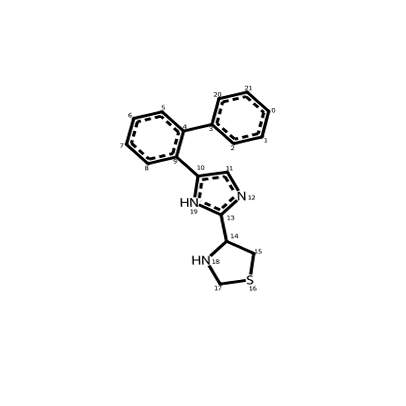 c1ccc(-c2ccccc2-c2cnc(C3CSCN3)[nH]2)cc1